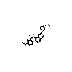 C[C@@H](Nc1ccnc2cnc(N3CC[C@@H](N)C3)cc12)c1cccc(C(F)F)c1F